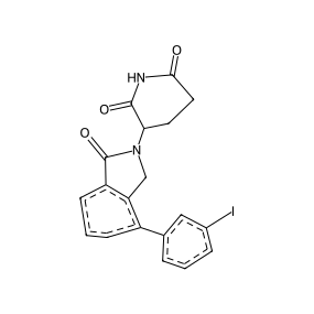 O=C1CCC(N2Cc3c(cccc3-c3cccc(I)c3)C2=O)C(=O)N1